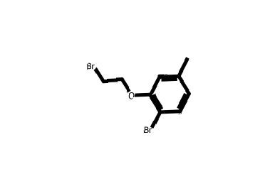 Cc1ccc(Br)c(OCCBr)c1